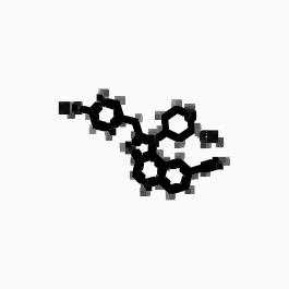 Cc1cnc(Cc2nc3cnc4ccc(C#N)cc4c3n2C2CCO[C@H](C)C2)cn1